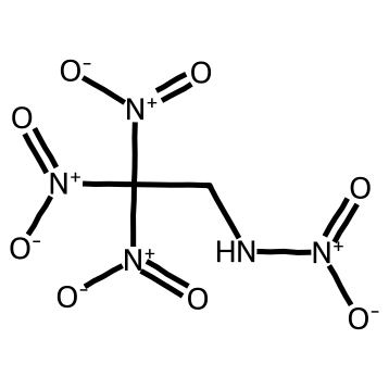 O=[N+]([O-])NCC([N+](=O)[O-])([N+](=O)[O-])[N+](=O)[O-]